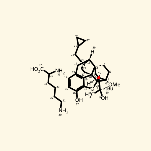 CO[C@@]12CC[C@@]3(C[C@@H]1[C@](C)(O)C(C)(C)C)[C@H]1Cc4ccc(O)c5c4[C@@]3(CCN1CC1CC1)[C@H]2O5.NCCCCC(N)C(=O)O